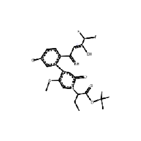 CCC(C(=O)OC(C)(C)C)n1cc(OC)c(-c2cc(Cl)ccc2C(=N)/C=C(\O)C(F)F)cc1=O